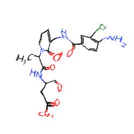 CC(C(=O)NC(C=O)CC(=O)O)n1cccc(NC(=O)c2ccc(N)c(Cl)c2)c1=O